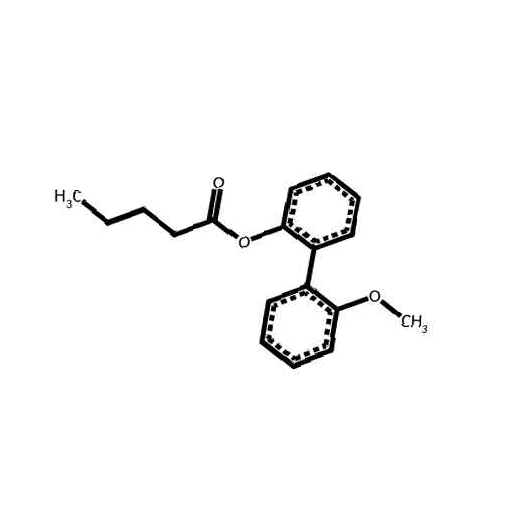 CCCCC(=O)Oc1ccccc1-c1ccccc1OC